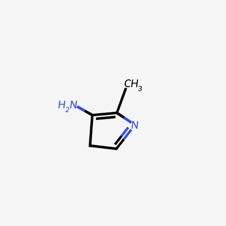 CC1=C(N)CC=N1